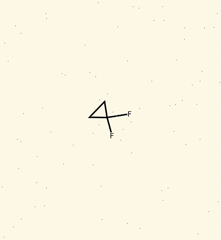 FC1(F)CC1